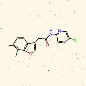 Cc1ccc2c(CC(=O)Nc3ccc(Cl)cn3)coc2c1C